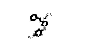 COC[C@]1(CCc2ccccc2)CCN(Nc2ccc(C)nc2)C1